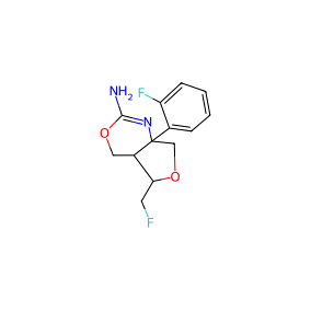 NC1=NC2(c3ccccc3F)COC(CF)C2CO1